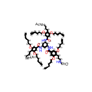 C#CCCCCOc1cc(C(=O)N[C@H]2C[C@@H](NC(=O)c3cc(OCCCCC#C)c(CCCNC(C)=O)c(OCCCCC#C)c3)C[C@@H](NC(=O)c3cc(OCCCCC#C)c(CCCNC(C)=O)c(OCCCCC#C)c3)C2)cc(OCCCCC#C)c1CCCNC=O